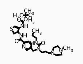 CCCNC(=O)N(CCCN1CCN(C)CC1)Cc1ccc(C(=O)NC2CSC=C2NC(=O)OC(C)(C)C)nc1